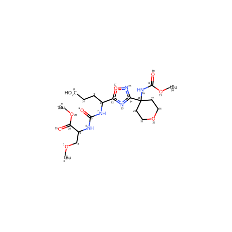 CC(C)(C)OCC(NC(=O)NC(CCC(=O)O)c1nc(C2(NC(=O)OC(C)(C)C)CCOCC2)no1)C(=O)OC(C)(C)C